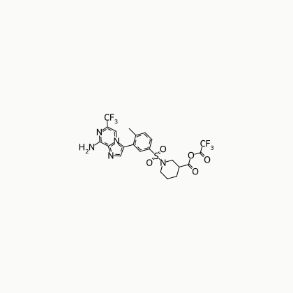 Cc1ccc(S(=O)(=O)N2CCCC(C(=O)OC(=O)C(F)(F)F)C2)cc1-c1cnc2c(N)nc(C(F)(F)F)cn12